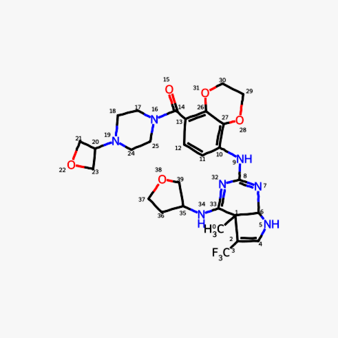 CC12C(C(F)(F)F)=CNC1N=C(Nc1ccc(C(=O)N3CCN(C4COC4)CC3)c3c1OCCO3)N=C2NC1CCOC1